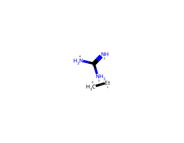 CCC.N=C(N)N